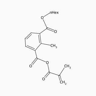 C=C(C)C(=O)OC(=O)c1cccc(C(=O)OCCCCCC)c1C